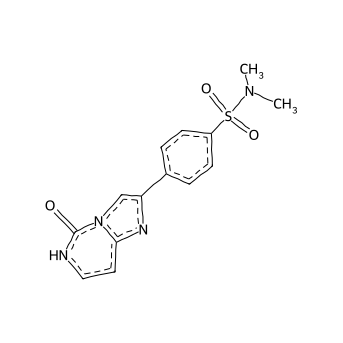 CN(C)S(=O)(=O)c1ccc(-c2cn3c(=O)[nH]ccc3n2)cc1